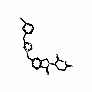 O=C1CCC(N2Cc3cc(Cn4cc(Cc5cccc(Br)c5)nn4)ccc3C2=O)C(=O)N1